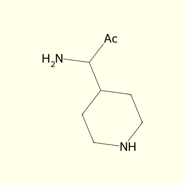 CC(=O)C(N)C1CCNCC1